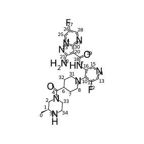 C[C@H]1CN(C(=O)C2CCN(c3c(F)cncc3NC(=O)c3c(N)nn4cc(F)cnc34)CC2)CCN1